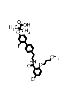 CCCCOc1ccc(Cl)cc1C(=O)NCCc1ccc(-c2ccc(OC(C)(C)C(=O)O)cc2F)cc1